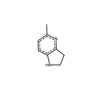 Cc1ccc2c(n1)CCN2